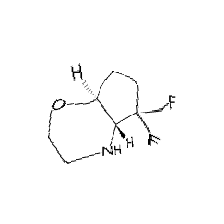 FC1(F)CC[C@@H]2OCCN[C@H]21